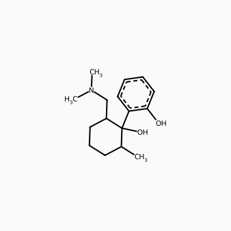 CC1CCCC(CN(C)C)C1(O)c1ccccc1O